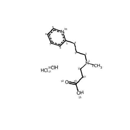 CN(CCCc1ccccn1)CCC(=O)O.Cl.Cl